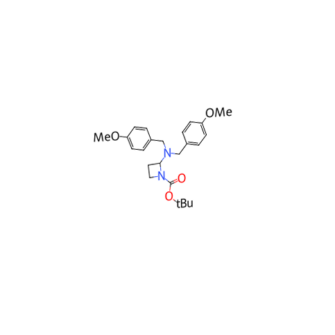 COc1ccc(CN(Cc2ccc(OC)cc2)C2CCN2C(=O)OC(C)(C)C)cc1